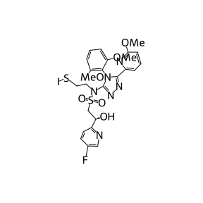 COc1cccc(-c2nnc(N(CCSI)S(=O)(=O)C[C@@H](O)c3ccc(F)cn3)n2-c2c(OC)cccc2OC)n1